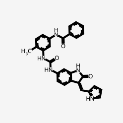 Cc1ccc(NC(=O)c2ccccc2)cc1NC(=O)Nc1ccc2c(c1)NC(=O)/C2=C\c1ccc[nH]1